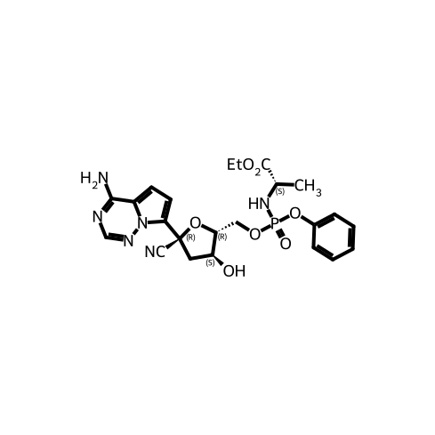 CCOC(=O)[C@H](C)NP(=O)(OC[C@H]1O[C@@](C#N)(c2ccc3c(N)ncnn23)C[C@@H]1O)Oc1ccccc1